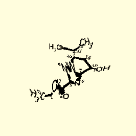 CCOC(=O)c1nc2n(n1)[C@H](C(C)C)C[C@H]2O